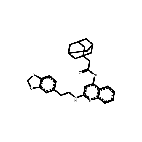 O=C(CC12CC3CC(CC(C3)C1)C2)Nc1cc(NCCc2ccc3c(c2)OCO3)nc2ccccc12